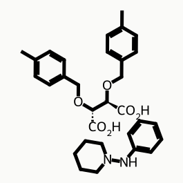 Cc1ccc(CO[C@@H](C(=O)O)[C@@H](OCc2ccc(C)cc2)C(=O)O)cc1.c1ccc(NN2CCCCC2)cc1